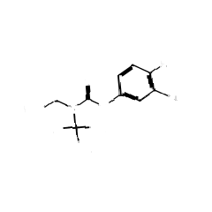 CCN(C(=O)Oc1ccc(N)c(N)c1)C(C)(C)C